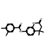 Cc1ccc(C(=O)Nc2ccc3c(c2)NC(=O)CC3(C)C)cc1I